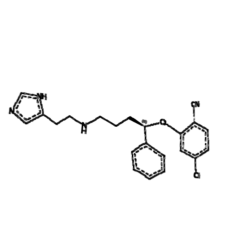 N#Cc1ccc(Cl)cc1O[C@H](CCCNCCc1cnc[nH]1)c1ccccc1